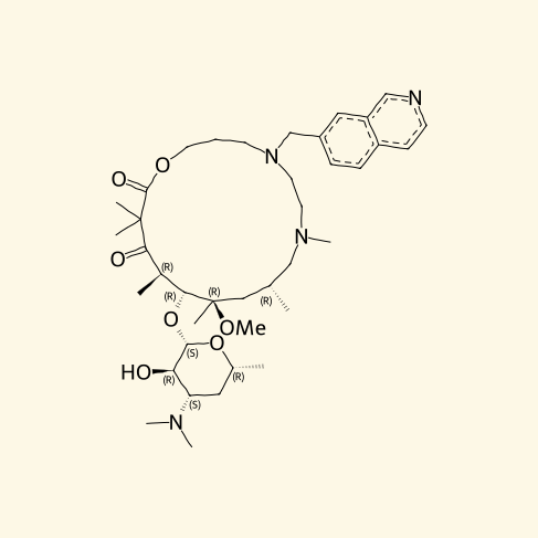 CO[C@]1(C)C[C@@H](C)CN(C)CCN(Cc2ccc3ccncc3c2)CCCOC(=O)C(C)(C)C(=O)[C@H](C)[C@H]1O[C@@H]1O[C@H](C)C[C@H](N(C)C)[C@H]1O